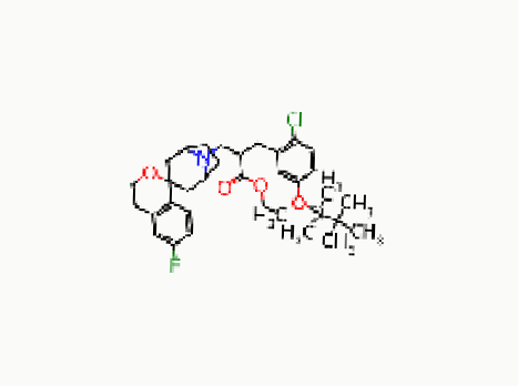 CCOC(=O)C(Cc1cc(O[Si](C)(C)C(C)(C)C)ccc1Cl)CN1C2CCC1CC1(C2)OCCc2cc(F)ccc21